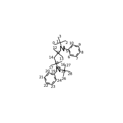 CC(C)(C)N(c1ccccc1)C(C)(C)CC(C)(C)N(c1ccccc1)C(C)(C)C